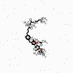 CC(=O)O[C@@H]1[C@@H](OC(C)=O)[C@@]2(c3ccc(C)c(Cc4ccc(CCCC(=O)NC(C)(C)C(=O)NCCCN(C)C)cc4)c3)OC[C@](C(C)(C)O)(O2)[C@H]1OC(C)=O